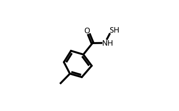 Cc1ccc(C(=O)NS)cc1